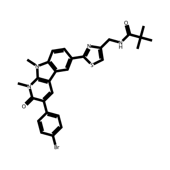 Cn1c(=O)c(-c2ccc(Br)cc2)cc2c3cc(-c4nc(CNC(=O)C(C)(C)C)cs4)ccc3n(C)c21